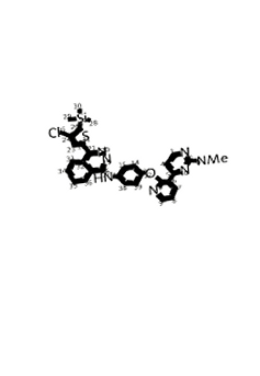 CNc1nccc(-c2cccnc2Oc2ccc(Nc3nnc(-c4cc(Cl)c([Si](C)(C)C)s4)c4ccccc34)cc2)n1